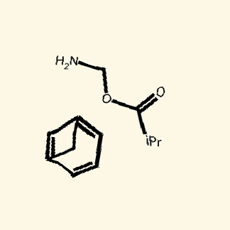 CC(C)C(=O)OCN.c1cc2cc(c1)C2